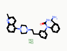 Cc1ccc2c(N3CCN(CCc4cccc(N(C(N)=O)c5ccccc5CN)c4)CC3)cccc2n1.Cl.Cl